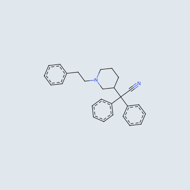 N#CC(c1ccccc1)(c1ccccc1)C1CCCN(CCc2ccccc2)C1